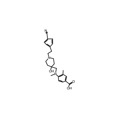 Cc1cc(C(=O)O)ccc1N(C)CC1(O)CCN(CCc2ccc(C#N)cc2)CC1